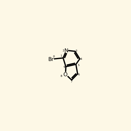 Brc1nccc2ccoc12